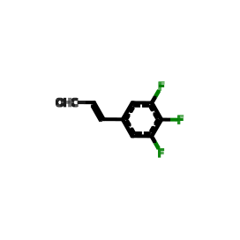 O=C/C=C/c1cc(F)c(F)c(F)c1